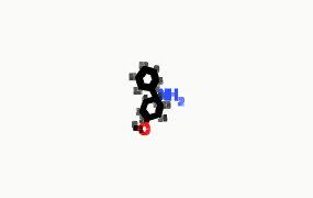 COC1=CCC(N)(c2ccccc2)C=C1